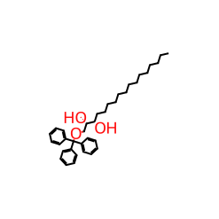 CCCCCCCCCCCCCCC(O)[C@@H](O)COC(c1ccccc1)(c1ccccc1)c1ccccc1